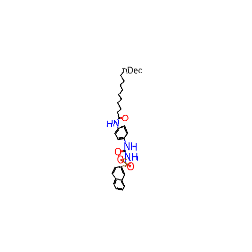 CCCCCCCCCCCCCCCCCCCC(=O)Nc1ccc(NC(=O)NS(=O)(=O)c2ccc3ccccc3c2)cc1